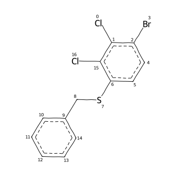 Clc1c(Br)ccc(SCc2ccccc2)c1Cl